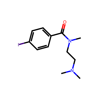 CN(C)CCN(C)C(=O)c1ccc(I)cc1